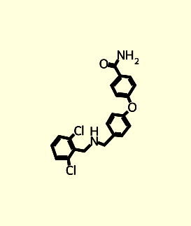 NC(=O)c1ccc(Oc2ccc(CNCc3c(Cl)cccc3Cl)cc2)cc1